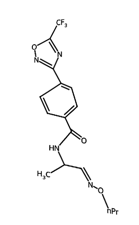 CCCON=CC(C)NC(=O)c1ccc(-c2noc(C(F)(F)F)n2)cc1